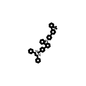 C[Si]1(C)c2ccccc2-c2cc(-c3ccc(-n4c5ccccc5c5c(-c6ccc(-c7nc(-c8ccccc8)cc(-c8ccccc8)n7)cc6)cccc54)cc3)ccc21